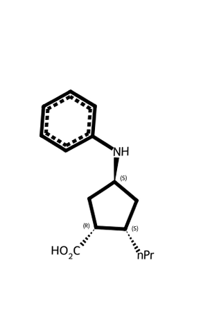 CCC[C@H]1C[C@H](Nc2ccccc2)C[C@H]1C(=O)O